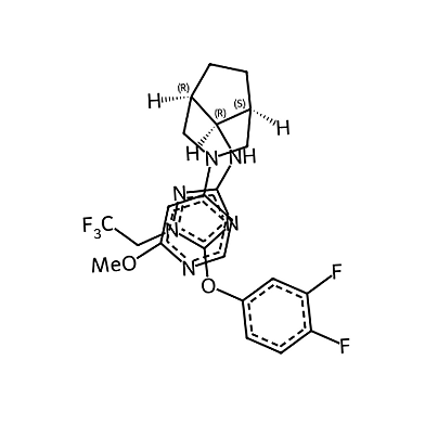 COc1cc(N2C[C@H]3CC[C@@H](C2)[C@H]3Nc2nc(Oc3ccc(F)c(F)c3)n(CC(F)(F)F)n2)ccn1